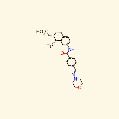 CC1c2cc(NC(=O)c3ccc(C=NN4CCOCC4)cc3)ccc2CCC1CC(=O)O